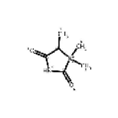 CC1C(=O)NC(=O)[N+]1(C)C